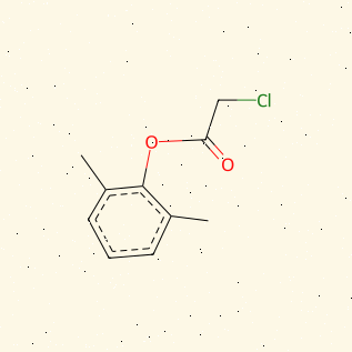 Cc1cccc(C)c1OC(=O)CCl